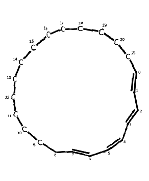 [C]1=C/C=C/C=C\C=C\CCCCCCCCCCCCCC/1